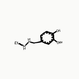 CCNNCc1ccc(O)c(OC)c1